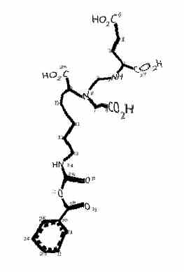 O=C(O)CCC(NCN(CC(=O)O)C(CCCCNC(=O)OC(=O)c1ccccc1)C(=O)O)C(=O)O